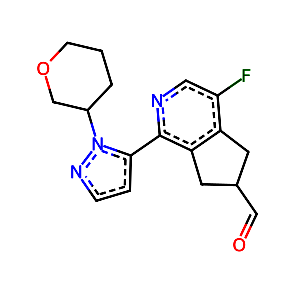 O=CC1Cc2c(F)cnc(-c3ccnn3C3CCCOC3)c2C1